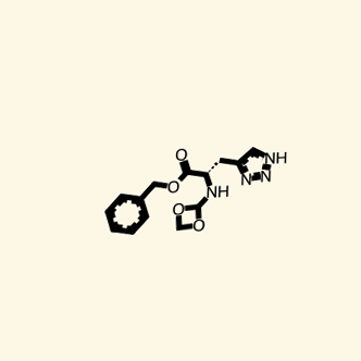 O=C(OCc1ccccc1)[C@H](Cc1c[nH]nn1)NC1OCO1